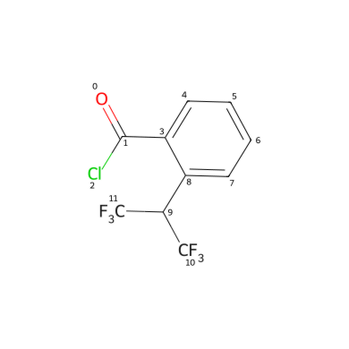 O=C(Cl)c1ccccc1C(C(F)(F)F)C(F)(F)F